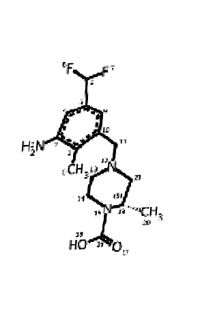 Cc1c(N)cc(C(F)F)cc1CN1CCN(C(=O)O)[C@@H](C)C1